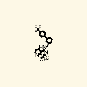 O=c1nc(NCc2cccc(-c3ccc(C(F)(F)F)cc3)c2)c2cccnc2n1O